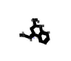 NC1C/C(=N\O)c2ccccc2O1